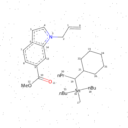 C=CCn1ccc2ccc(C(=O)OC)cc21.CCC[CH2][Sn]([CH3])([CH2]CCC)[CH](CCC)C1CCCCC1